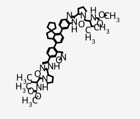 COC(=O)NC(C(=O)N1CCCC1c1ncc(-c2ccc(-c3ccc(-c4ccc5nc(C6CCCN6C(=O)C(NC(=O)OC)C(C)C)[nH]c5c4)c4c3CCC43CCCC3)c3cnoc23)[nH]1)C(C)C